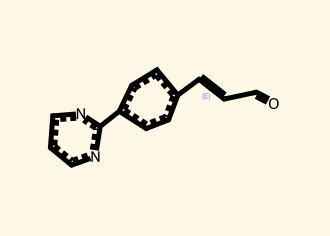 O=C/C=C/c1ccc(-c2ncccn2)cc1